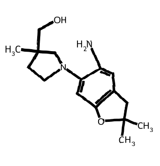 CC1(CO)CCN(c2cc3c(cc2N)CC(C)(C)O3)C1